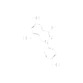 CCC1=NN(c2ccc(O)cc2)Cc2c(O)cc(O)cc21